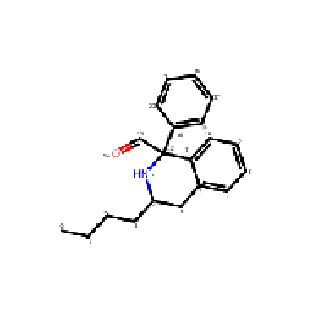 CCCCC1Cc2ccccc2C(C=O)(c2ccccc2)N1